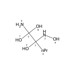 CCCC(O)(NO)C(N)(O)O